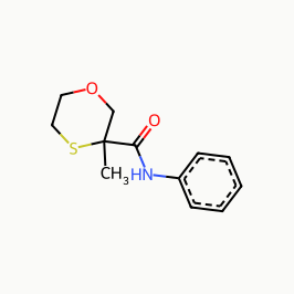 CC1(C(=O)Nc2ccccc2)COCCS1